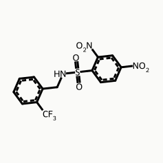 O=[N+]([O-])c1ccc(S(=O)(=O)NCc2ccccc2C(F)(F)F)c([N+](=O)[O-])c1